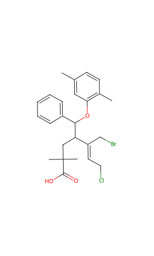 Cc1ccc(C)c(OC(c2ccccc2)C(CC(C)(C)C(=O)O)/C(=C/CCl)CBr)c1